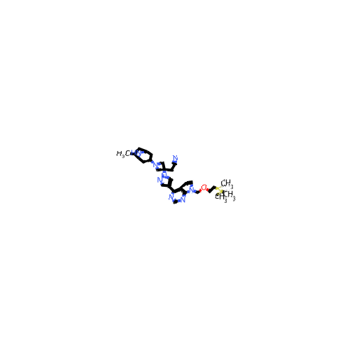 CC1CC2CC(N3CC(CC#N)(n4cc(-c5ncnc6c5ccn6COCCS(C)(C)C)cn4)C3)CC1N2